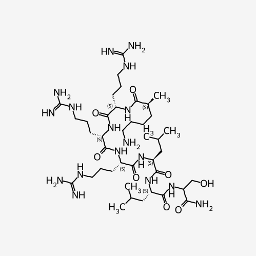 CC(C)C[C@H](NC(=O)[C@H](CC(C)C)NC(=O)[C@H](CCCNC(=N)N)NC(=O)[C@H](CCCNC(=N)N)NC(=O)[C@H](CCCNC(=N)N)NC(=O)[C@@H](C)CCCCN)C(=O)NC(CO)C(N)=O